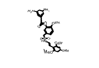 COc1cc(OC)c(/C=C/NS(=O)(=O)Cc2ccc(OC)c(OC(=O)c3cc(N)cc(N)c3)c2)c(OC)c1